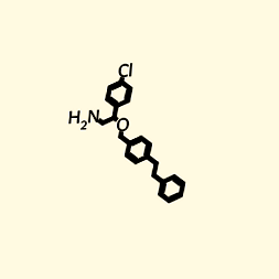 NCC(OCc1ccc(CCc2ccccc2)cc1)c1ccc(Cl)cc1